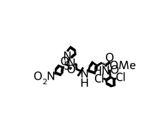 COC(=O)[C@H](Cc1ccc(NC(C)(C)CCN(c2ccccn2)S(=O)(=O)c2ccc([N+](=O)[O-])cc2)cc1)NC(=O)c1c(Cl)cccc1Cl